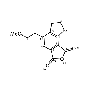 COCCc1cc2c(c3c1CCC3)C(=O)OC2=O